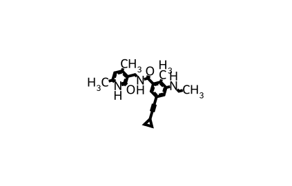 CCNc1cc(C#CC2CC2)cc(C(=O)NCc2c(C)cc(C)[nH]c2=O)c1C